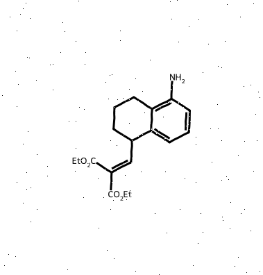 CCOC(=O)C(=CC1CCCc2c(N)cccc21)C(=O)OCC